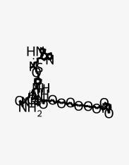 CC(C)[C@H](NC(=O)CCOCCOCCOCCOCCOCCOCCN1C(=O)C=CC1=O)C(=O)N[C@@H](CCCNC(N)=O)CNc1ccc(COC(=S)N(C)CC[CH]C2=C3NCCC3C3=CC=NC3=C2)cc1